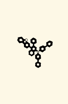 c1ccc(-c2ccc(N(c3ccc(-c4ccccc4)cc3)c3cc(-c4ccccc4)c(-c4ccc5c(c4)oc4ccccc45)c4c3CCCC4)cc2)cc1